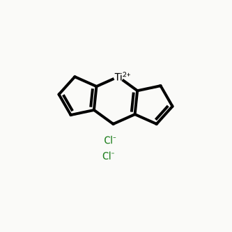 C1=CC2=[C](C1)[Ti+2][C]1=C(C=CC1)C2.[Cl-].[Cl-]